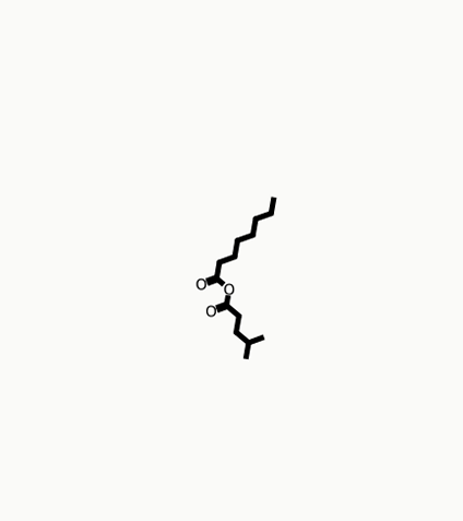 CCCCCCCC(=O)OC(=O)CCC(C)C